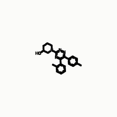 Cc1ccc(-c2nnc(N3CCCC(O)C3)nc2-c2ccccc2C)cc1